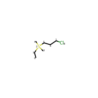 CCS(C)(C)CCCCl